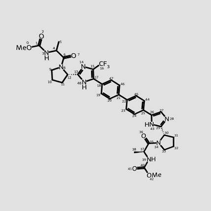 COC(=O)NC(C)C(=O)N1CCC[C@H]1c1nc(C(F)(F)F)c(-c2ccc(-c3ccc(-c4cnc([C@@H]5CCCN5C(=O)[C@H](C)NC(=O)OC)[nH]4)cc3)cc2)[nH]1